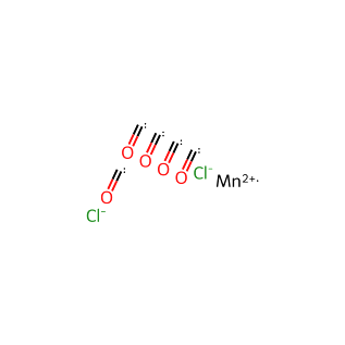 [C]=O.[C]=O.[C]=O.[C]=O.[C]=O.[Cl-].[Cl-].[Mn+2]